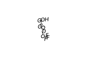 O=C(O)C1C2Oc3cc(OCc4cccc(C(F)(F)F)c4)ccc3C21